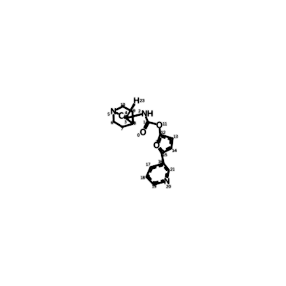 O=C(N[C@H]1CN2CCC1CC2)Oc1ccc(-c2cccnc2)o1